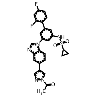 CC(=O)n1cc(-c2ccc3c(c2)ncn3-c2cc(NS(=O)(=O)C3CC3)cc(-c3ccc(F)cc3F)c2)cn1